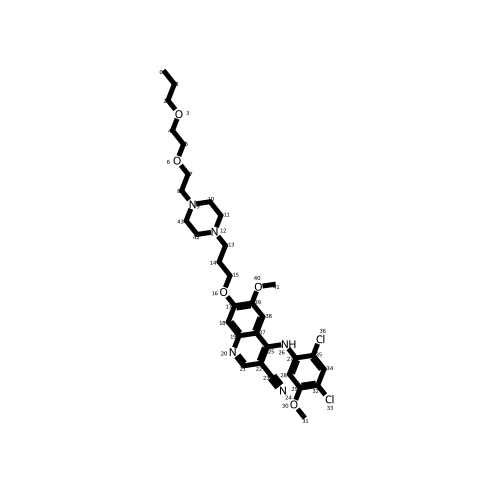 CCCOCCOCCN1CCN(CCCOc2cc3ncc(C#N)c(Nc4cc(OC)c(Cl)cc4Cl)c3cc2OC)CC1